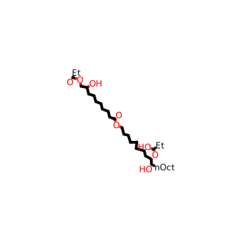 CCCCCCCCC(O)C(CCCCCCCCOC(=O)CCCCCCCC(O)COC(=O)CC)OC(O)CC